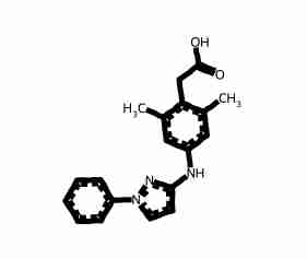 Cc1cc(Nc2ccn(-c3ccccc3)n2)cc(C)c1CC(=O)O